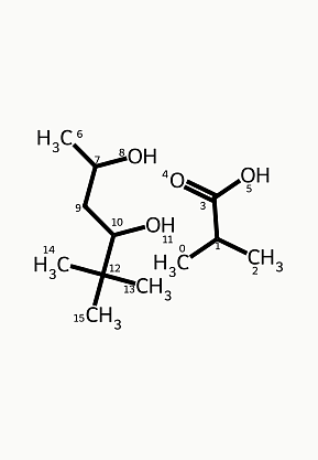 CC(C)C(=O)O.CC(O)CC(O)C(C)(C)C